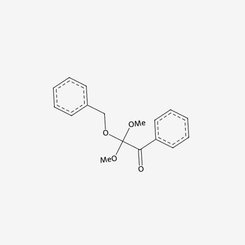 COC(OC)(OCc1ccccc1)C(=O)c1ccccc1